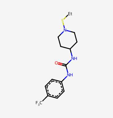 CCSN1CCC(NC(=O)Nc2ccc(C(F)(F)F)cc2)CC1